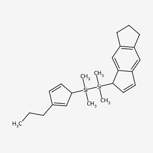 CCCC1=CC([Si](C)(C)[Si](C)(C)C2C=Cc3cc4c(cc32)CCC4)C=C1